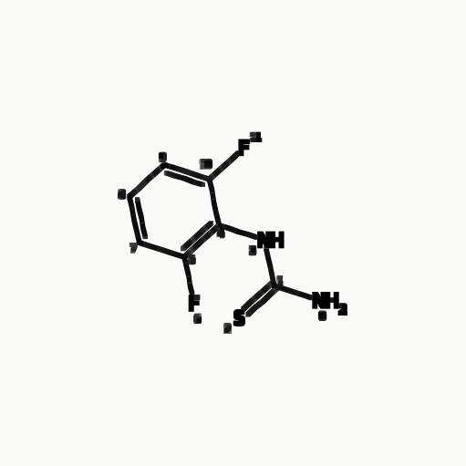 NC(=S)Nc1c(F)cccc1F